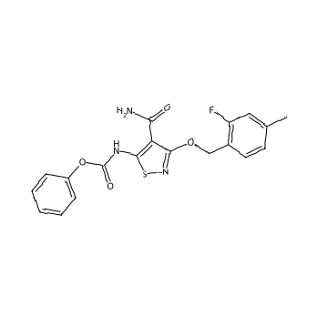 Cc1ccc(COc2nsc(NC(=O)Oc3ccccc3)c2C(N)=O)c(F)c1